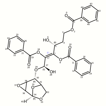 O=C(OCC[C@@H](O)/C(OC(=O)c1ccccc1)=C(\OC(=O)c1ccccc1)[C@@H](O)O[C@@H]1C2CO[C@H](O2)C2OC21)c1ccccc1